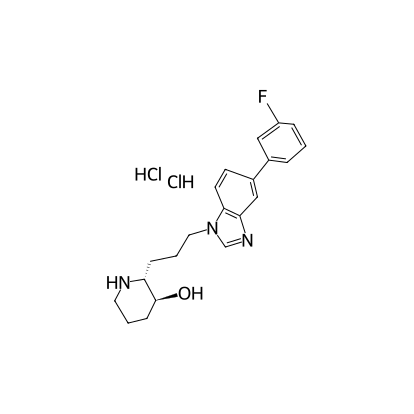 Cl.Cl.O[C@H]1CCCN[C@@H]1CCCn1cnc2cc(-c3cccc(F)c3)ccc21